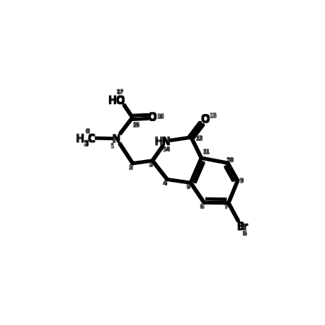 CN(CC1Cc2cc(Br)ccc2C(=O)N1)C(=O)O